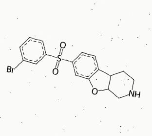 O=S(=O)(c1cccc(Br)c1)c1ccc2c(c1)OC1CNCCC21